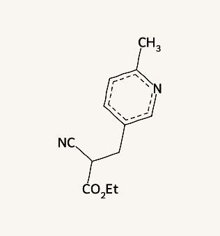 CCOC(=O)C(C#N)Cc1ccc(C)nc1